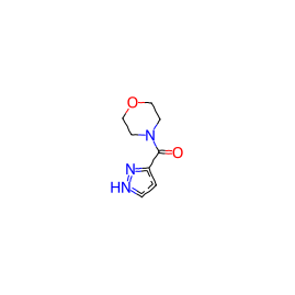 O=C(c1cc[nH]n1)N1CCOCC1